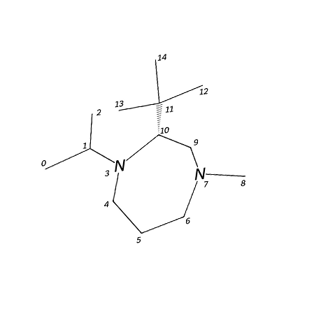 CC(C)N1CCCN(C)C[C@H]1C(C)(C)C